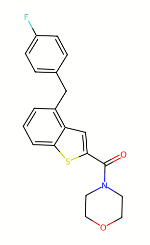 O=C(c1cc2c(Cc3ccc(F)cc3)cccc2s1)N1CCOCC1